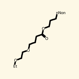 CCCCCCCCCCCCOC(=O)CCCOCCOCC